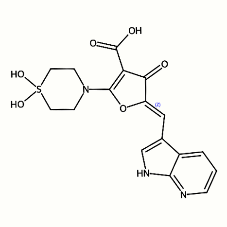 O=C(O)C1=C(N2CCS(O)(O)CC2)O/C(=C\c2c[nH]c3ncccc23)C1=O